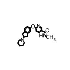 CNC(=O)c1ccc(Oc2ccc3c(c2)CC(N2CCCCC2)C3)nc1